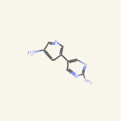 Nc1cncc(-c2cnc(N)nc2)c1